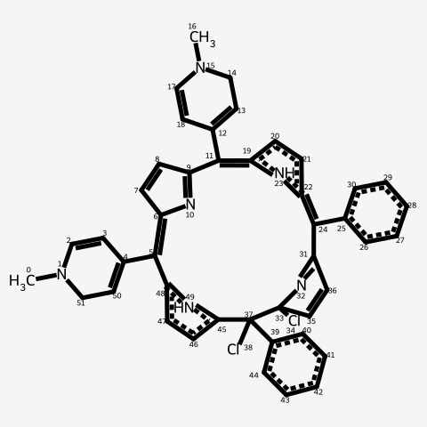 CN1C=CC(C2=C3C=CC(=N3)C(C3=CCN(C)C=C3)=c3ccc([nH]3)=C(c3ccccc3)C3=NC(Cl)(C=C3)C(Cl)(c3ccccc3)c3ccc2[nH]3)=CC1